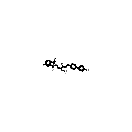 Cc1ccc2c(c1)C(=O)N(CC[C@H](C(=O)O)[C@H](O)CCc1ccc(-c3ccc(Cl)cc3)cc1)C2=O